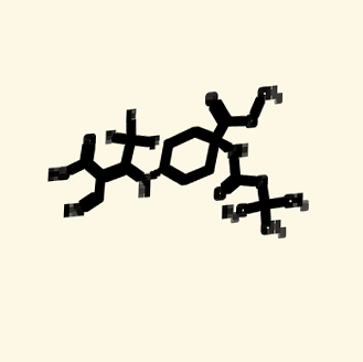 COC(=O)[C@]1(NC(=O)OC(C)(C)C)CC[C@H](N/C(=C(\C=N)C(=O)O)C(F)(F)F)CC1